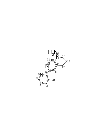 Cc1cccnc1-c1cc2c(cn1)N(N)CCC2